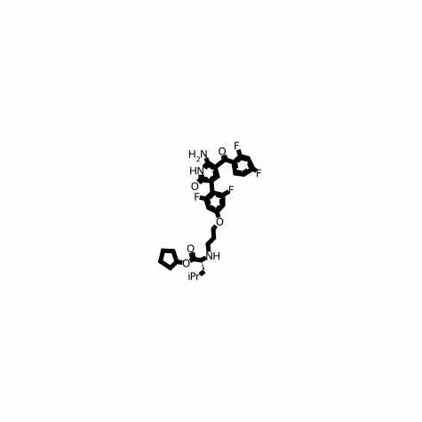 CC(C)C[C@@H](NCCCOc1cc(F)c(-c2cc(C(=O)c3ccc(F)cc3F)c(N)[nH]c2=O)c(F)c1)C(=O)OC1CCCC1